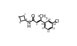 CC(=CC(=O)NC1CCC1)c1cccc(Cl)c1